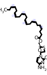 CC/C=C\C/C=C\C/C=C\C/C=C\C/C=C\C/C=C\CCC(=O)OC[C@@H]1OC(n2ccc(N)nc2=O)CS1